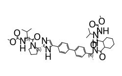 COC(=O)N[C@H](C(=O)N1CCC[C@H]1c1ncc(-c2ccc(-c3ccc([C@@H](C)NC(=O)C4CCCCC4C(=O)N(NC(=O)OC)C(C)C)cc3)cc2)[nH]1)C(C)C